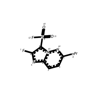 CCCc1ccc2nc(F)c(S(=O)(=O)F)n2n1